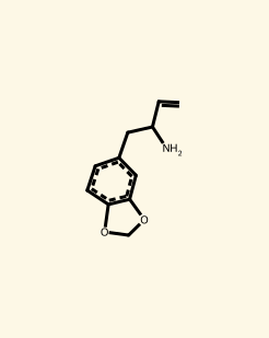 C=CC(N)Cc1ccc2c(c1)OCO2